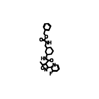 Cc1onc(-c2ncccc2F)c1C(=O)NC1CCCC(CNC(=O)OCc2ccccc2)C1